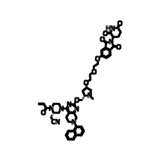 C=CC(=O)N1CCN(c2nc(OC[C@@H]3C[C@@H](OCCOCCOc4ccc5c(c4)C(=O)N(C4CCC(=O)NC4=O)C5=O)CN3C)nc3c2CCN(c2cccc4ccccc24)C3)C[C@@H]1CC#N